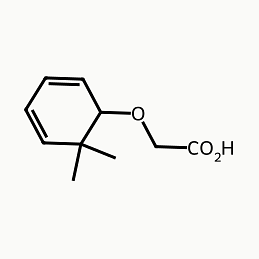 CC1(C)C=CC=CC1OCC(=O)O